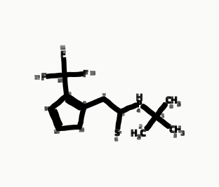 CC(C)(C)PC([S])CC1=C(C(F)(F)F)C=CC1